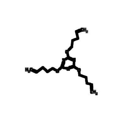 C=CCCCOc1nc(OCCCC=C)nc(OCCCC=C)n1